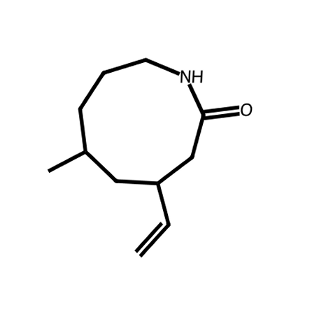 C=CC1CC(=O)NCCCC(C)C1